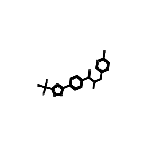 CN(Cc1ccc(Cl)nc1)C(=O)c1ccc(-c2noc(C(F)(F)F)n2)cc1